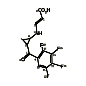 O=C(O)C=CNC1CC1C(=O)c1cc(F)c(F)c(F)c1F